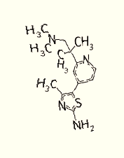 Cc1nc(N)sc1-c1ccnc(C(C)(C)CN(C)C)c1